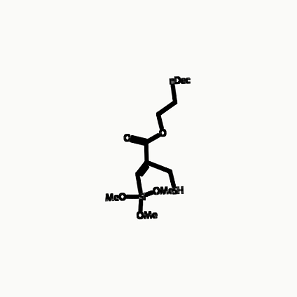 CCCCCCCCCCCCOC(=O)C(=C[Si](OC)(OC)OC)CS